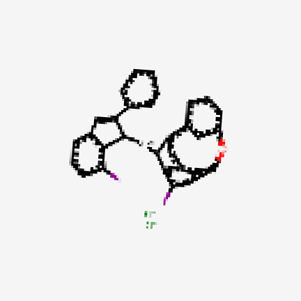 Ic1cccc2c1[CH]([Zr+2][CH]1c3cc4cc(cc(I)c41)oc1cccc3c1)C(c1ccccc1)=C2.[Cl-].[Cl-]